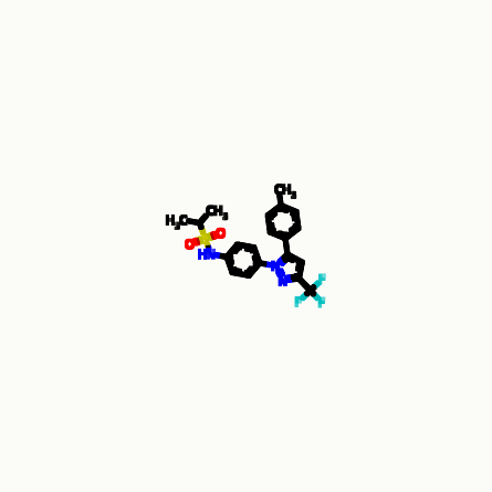 Cc1ccc(-c2cc(C(F)(F)F)nn2-c2ccc(NS(=O)(=O)C(C)C)cc2)cc1